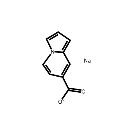 O=C([O-])c1ccn2cccc2c1.[Na+]